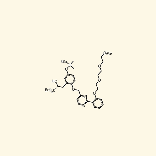 CCOC(=O)[C@H](O)Cc1cc(O[Si](C)(C)C(C)(C)C)ccc1OCc1ccnc(-c2ccccc2OCCOCCOCCOC)n1